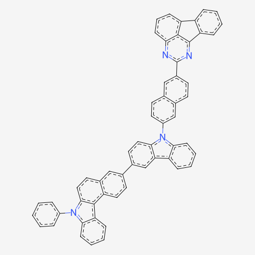 c1ccc(-n2c3ccccc3c3c4ccc(-c5ccc6c(c5)c5ccccc5n6-c5ccc6cc(-c7nc8c9c(cccc9n7)-c7ccccc7-8)ccc6c5)cc4ccc32)cc1